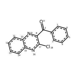 O=C(c1ccccc1)c1nc2ccccc2nc1Cl